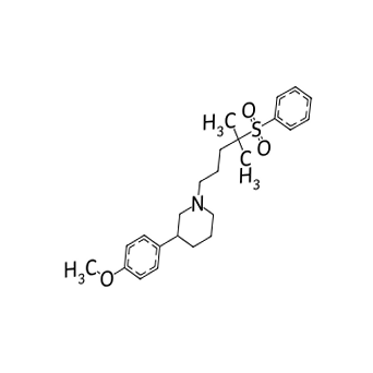 COc1ccc(C2CCCN(CCCC(C)(C)S(=O)(=O)c3ccccc3)C2)cc1